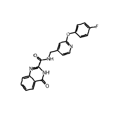 O=C(NCc1ccnc(Oc2ccc(F)cc2)c1)c1nc2ccccc2c(=O)[nH]1